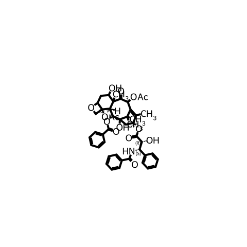 CC(=O)OC1C(=O)C2(C)C(O)CC3OC[C@@]3(OC(C)=O)[C@H]2[C@H](OC(=O)c2ccccc2)C2(O)C[C@H](OC(=O)[C@H](O)[C@@H](NC(=O)c3ccccc3)c3ccccc3)C(C)=C1C2(C)C